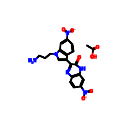 CC(=O)O.NCCCn1cc(-c2nc3ccc([N+](=O)[O-])cc3[nH]c2=O)c2ccc([N+](=O)[O-])cc21